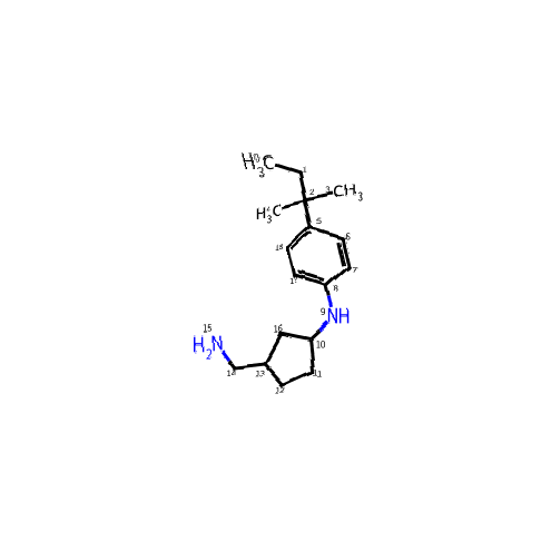 CCC(C)(C)c1ccc(NC2CCC(CN)C2)cc1